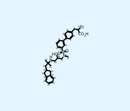 CCC(Cc1ccc(-c2cccc(S(=O)(=O)N(C)CC(O)CNC(C)(C)CC3Cc4ccccc4C3)c2)cc1)C(=O)O